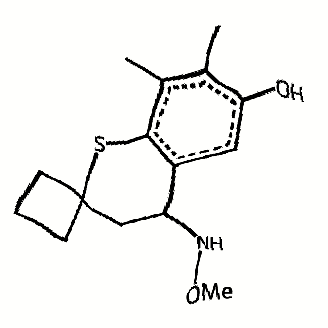 CONC1CC2(CCC2)Sc2c1cc(O)c(C)c2C